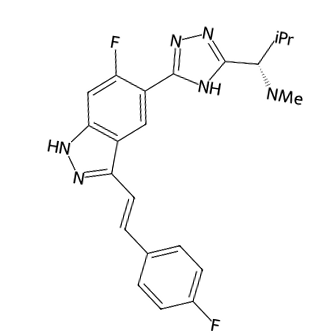 CN[C@H](c1nnc(-c2cc3c(/C=C/c4ccc(F)cc4)n[nH]c3cc2F)[nH]1)C(C)C